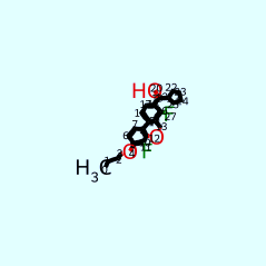 CCCCOc1ccc2c(c1F)OCc1c-2ccc(C(O)C2CCCC2)c1F